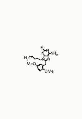 C=CCCCn1c(Cc2cc(OC)ccc2OC)nc2c(N)nc(F)nc21